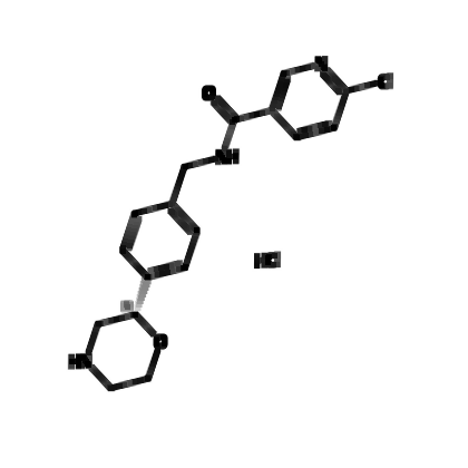 Cl.O=C(NCc1ccc([C@H]2CNCCO2)cc1)c1ccc(Cl)nc1